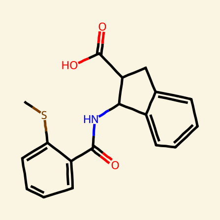 CSc1ccccc1C(=O)NC1c2ccccc2CC1C(=O)O